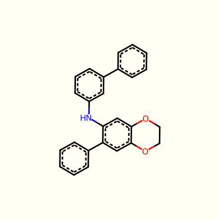 c1ccc(-c2cccc(Nc3cc4c(cc3-c3ccccc3)OCCO4)c2)cc1